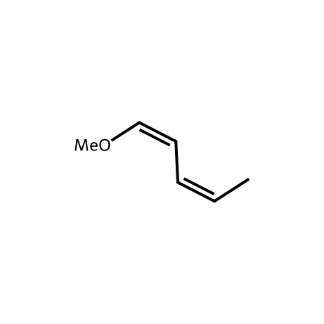 C/C=C\C=C/OC